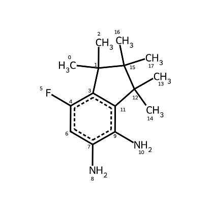 CC1(C)c2c(F)cc(N)c(N)c2C(C)(C)C1(C)C